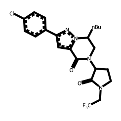 CCCCC1CN(C2CCN(CC(F)(F)F)C2=O)C(=O)c2cc(-c3ccc(Cl)cc3)nn21